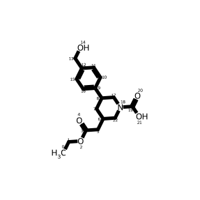 CCOC(=O)CC1CC(c2ccc(CO)cc2)CN(C(=O)O)C1